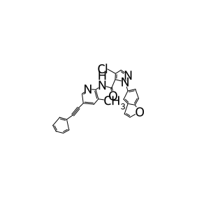 Cc1cc(C#Cc2ccccc2)cnc1NC(=O)c1c(Cl)cnn1-c1ccc2occc2c1